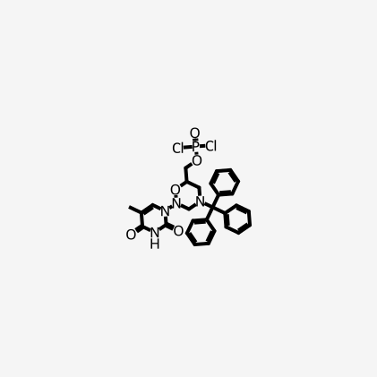 Cc1cn(N2CN(C(c3ccccc3)(c3ccccc3)c3ccccc3)CC(COP(=O)(Cl)Cl)O2)c(=O)[nH]c1=O